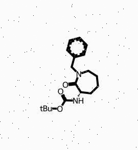 CC(C)(C)OC(=O)N[C@H]1CCCCN(Cc2ccccc2)C1=O